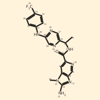 CC(NC(=O)c1cc2c(cn1)nc(N)n2C)c1cnc(Nc2ccc(C(F)(F)F)cc2)cn1